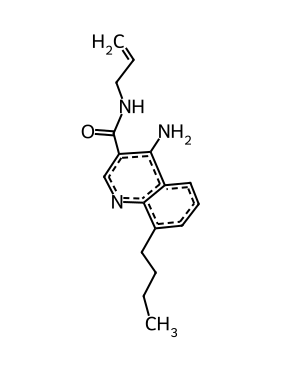 C=CCNC(=O)c1cnc2c(CCCC)cccc2c1N